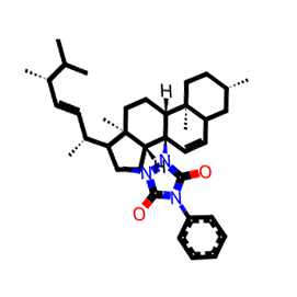 CC(C)[C@@H](C)/C=C/[C@@H](C)C1CC[C@H]2[C@@]3(n4c(=O)n(-c5ccccc5)c(=O)n4C)C=CC4C[C@@H](C)CC[C@]4(C)[C@H]3CC[C@]12C